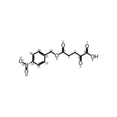 O=C(CCC(=O)C(=O)O)OCc1ccc([N+](=O)[O-])cc1